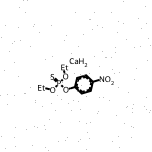 CCOP(=S)(OCC)Oc1ccc([N+](=O)[O-])cc1.[CaH2]